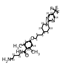 Cc1cc(OCCCC2CCN(c3ncc(C(F)(F)F)cn3)CC2)cc(C)c1C(=O)NCCCN